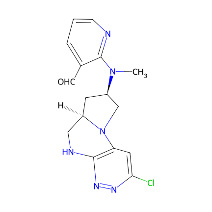 CN(c1ncccc1C=O)[C@@H]1C[C@@H]2CNc3nnc(Cl)cc3N2C1